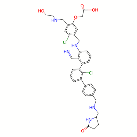 N=Cc1c(NCc2cc(OCC(=O)O)c(CNCCO)cc2Cl)cccc1-c1cccc(-c2ccc(CNCC3CCC(=O)N3)cc2)c1Cl